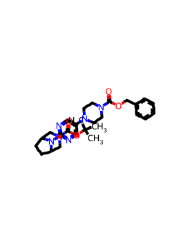 CC(C)(C)OC(=O)N1CC2CCC(C1)N2c1ncc(N2CCN(C(=O)OCc3ccccc3)CC2)cn1